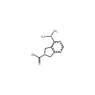 CN(C)c1ncnc2c1CN(C(=O)O)C2